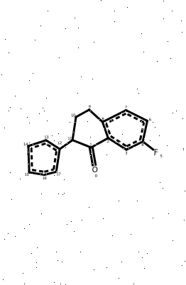 O=C1c2cc(F)ccc2CCC1c1ccccc1